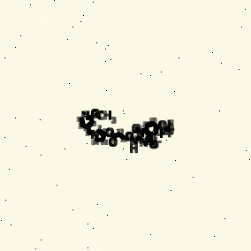 COc1cc(CN2C=C(OC(=O)CCONc3n[n+]([O-])c4cc(OC(F)(F)F)ccc4[n+]3[O-])CC2)ccn1